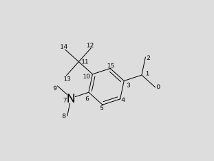 CC(C)c1ccc(N(C)C)c(C(C)(C)C)c1